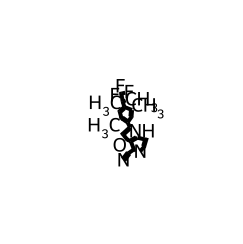 Cc1cc(C(C)(C)C(F)(F)F)c(C)cc1-c1cc(=O)c2c(C#N)nccc2[nH]1